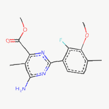 COC(=O)c1nc(-c2ccc(C)c(OC)c2F)nc(N)c1C